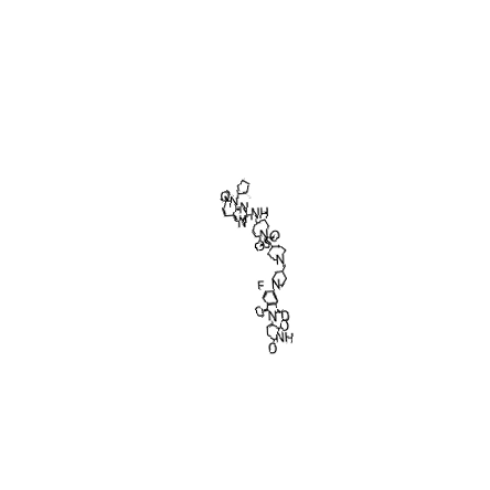 C[C@H]1CCCC1n1c(=O)ccc2cnc(NC3CCN(S(=O)(=O)C4CCN(CC5CCN(c6cc7c(cc6F)C(=O)N(C6CCC(=O)NC6=O)C7=O)CC5)CC4)CC3)nc21